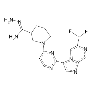 N/N=C(\N)C1CCCN(c2ccnc(-c3cnc4cnc(C(F)F)cn34)n2)C1